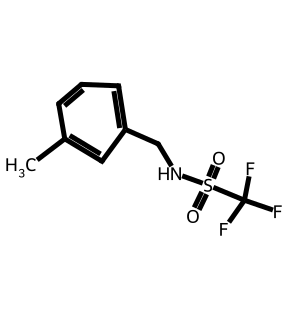 Cc1cccc(CNS(=O)(=O)C(F)(F)F)c1